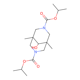 CC(C)OC(=O)N1CC2(C)CN(C(=O)OC(C)C)CC(C)(C1)C2O